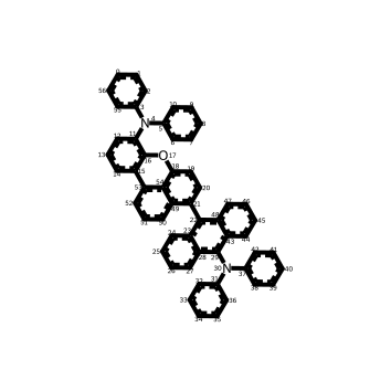 c1ccc(N(c2ccccc2)c2cccc3c2Oc2ccc(-c4c5ccccc5c(N(c5ccccc5)c5ccccc5)c5ccccc45)c4cccc-3c24)cc1